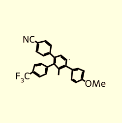 COc1ccc(-c2[c]cc(-c3ccc(C#N)cc3)c(-c3ccc(C(F)(F)F)cc3)c2C)cc1